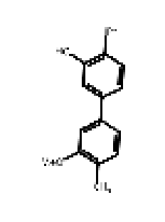 COc1cc(-c2ccc(C(C)C)c(O)c2)ccc1C